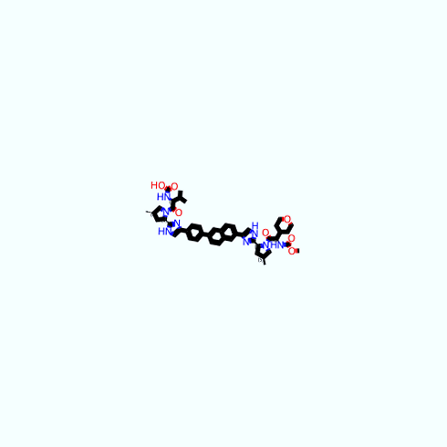 COC(=O)N[C@H](C(=O)N1C[C@@H](C)C[C@H]1c1nc(-c2ccc3cc(-c4ccc(-c5c[nH]c([C@@H]6C[C@H](C)CN6C(=O)[C@@H](NC(=O)O)C(C)C)n5)cc4)ccc3c2)c[nH]1)C1CCOCC1